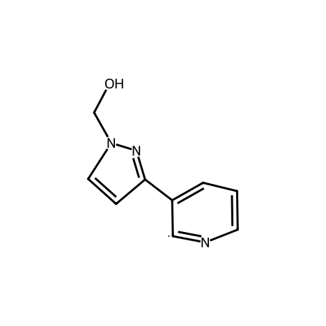 OCn1ccc(-c2[c]nccc2)n1